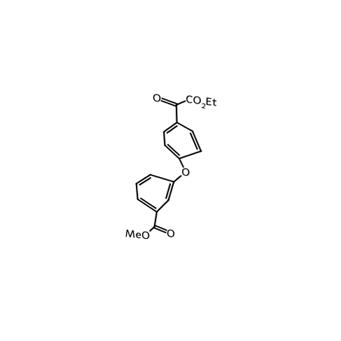 CCOC(=O)C(=O)c1ccc(Oc2cccc(C(=O)OC)c2)cc1